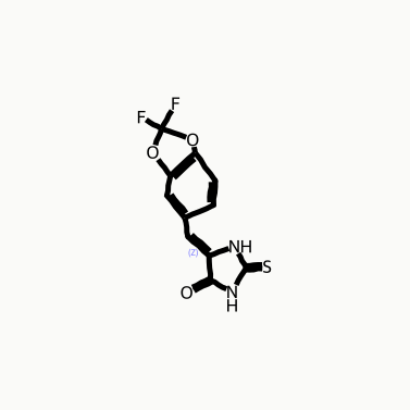 O=C1NC(=S)N/C1=C\c1ccc2c(c1)OC(F)(F)O2